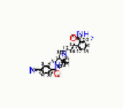 N#Cc1ccc(C(=O)N2CC3CN(CC[CH]c4ccccc4C(N)=O)C[C@H]3C2)cc1